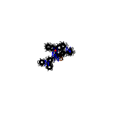 c1ccc(-n2c3ccccc3c3cc(-c4nc(-n5c6cc7ccccc7cc6c6cc7ccccc7cc65)c5c(n4)sc4cc(-c6ccccn6)ccc45)ccc32)cc1